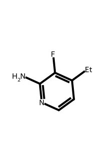 [CH2]Cc1ccnc(N)c1F